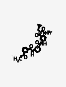 C=CC(=O)c1cccc(C(=O)N[C@@H]2CCCN(C(=O)Nc3ccc4c(c3)c(=O)n(CC3CC3)c(=O)n4C(C)C)C2)c1